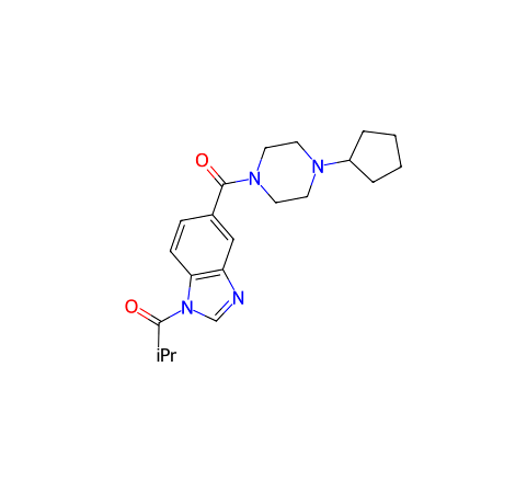 CC(C)C(=O)n1cnc2cc(C(=O)N3CCN(C4CCCC4)CC3)ccc21